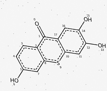 O=c1c2ccc(O)cc2sc2cc(O)c(O)cc12